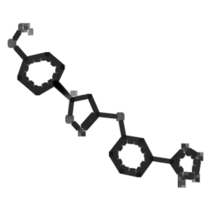 FC(F)(F)Oc1ccc([C@H]2CC(Oc3cccc(-c4nnn[nH]4)c3)=NO2)cc1